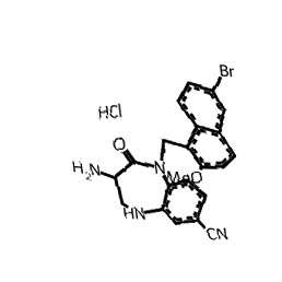 COc1ccc2cc(Br)ccc2c1CN1C(=O)C(N)CNc2cc(C#N)ccc21.Cl